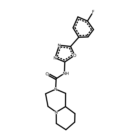 O=C(Nc1nnc(-c2ccc(F)cc2)o1)N1CCN2CCCCC2C1